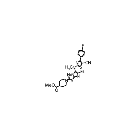 CCc1nc2sc(N3CCC(C(=O)OC)CC3)nn2c1N(C)c1nc(-c2ccc(F)cc2)c(C#N)s1